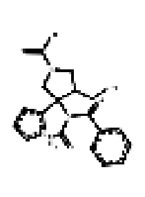 NC(=S)N(C(=O)c1ccccc1)C1(c2cccs2)CN(C(=O)O)CC1CO